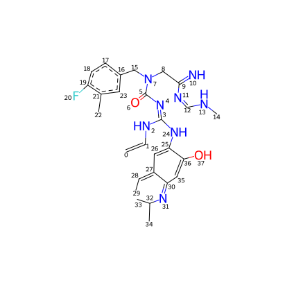 C=CN/C(=N\C(=O)N(CC(=N)/N=C\NC)Cc1ccc(F)c(C)c1)NC1=CC(=C/C)/C(=N\C(C)C)C=C1O